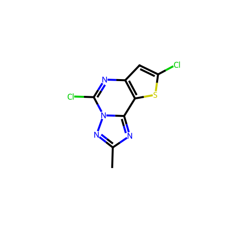 Cc1nc2c3sc(Cl)cc3nc(Cl)n2n1